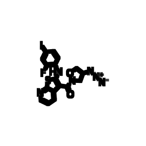 [N-]=[N+]=NC1CON(C(=O)c2c(Nc3ccc(I)cc3F)sc3ncccc23)C1